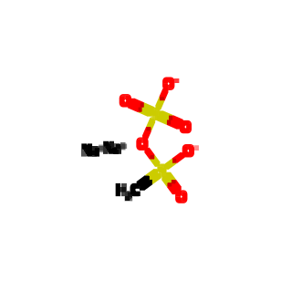 C=S(=O)([O-])OS(=O)(=O)[O-].[Na+].[Na+]